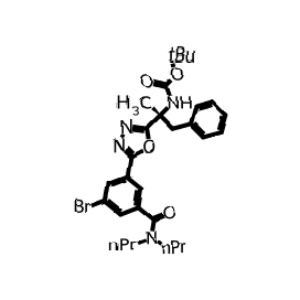 CCCN(CCC)C(=O)c1cc(Br)cc(-c2nnc([C@@](C)(Cc3ccccc3)NC(=O)OC(C)(C)C)o2)c1